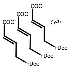 CCCCCCCCCCCC=CC(=O)[O-].CCCCCCCCCCCC=CC(=O)[O-].CCCCCCCCCCCC=CC(=O)[O-].[Ce+3]